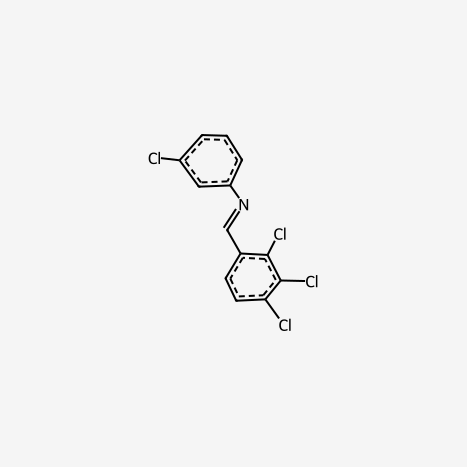 Clc1cccc(/N=C/c2ccc(Cl)c(Cl)c2Cl)c1